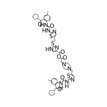 Cc1ccc(NC(=O)Nc2ncc(CSc3nc(C(=O)OC(=O)CN4CCN(Cc5cnc(NC(=O)Nc6ccc(C)cc6C(=O)C6CCCC6)s5)CC4)c[nH]3)s2)c(C(=O)C2CCCC2)c1